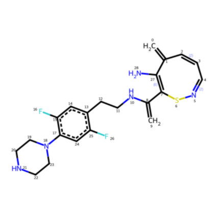 C=C1/C=C\C=N/S/C(C(=C)NCCc2cc(F)c(N3CCNCC3)cc2F)=C\1N